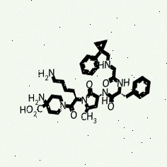 CC1C[C@@H](NC(=O)[C@@H](Cc2ccccc2)NC(=O)CNCC2(c3ccccc3)CC2)C(=O)N1[C@H](CCCCN)C(=O)N1CCC(N)(C(=O)O)CC1